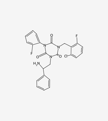 NC(Cn1c(=O)n(Cc2c(F)cccc2Cl)c(=O)n(-c2ccccc2F)c1=O)c1ccccc1